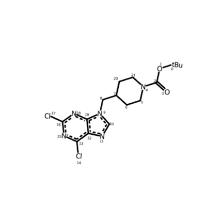 CC(C)(C)OC(=O)N1CCC(Cn2cnc3c(Cl)nc(Cl)nc32)CC1